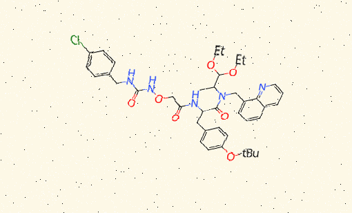 CCOC(OCC)C(C)N(Cc1cccc2cccnc12)C(=O)C(Cc1ccc(OC(C)(C)C)cc1)NC(=O)CONC(=O)NCc1ccc(Cl)cc1